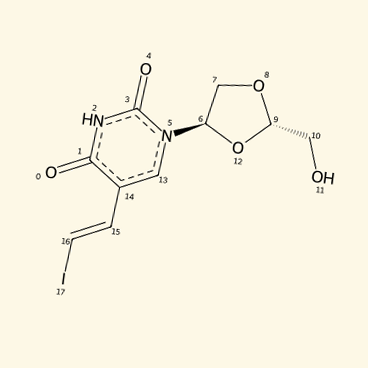 O=c1[nH]c(=O)n([C@H]2CO[C@H](CO)O2)cc1/C=C/I